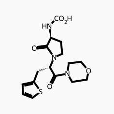 O=C(O)N[C@H]1CCN([C@@H](Cc2cccs2)C(=O)N2CCOCC2)C1=O